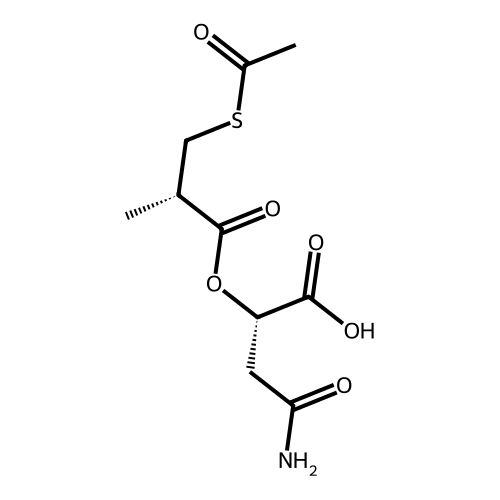 CC(=O)SC[C@@H](C)C(=O)O[C@@H](CC(N)=O)C(=O)O